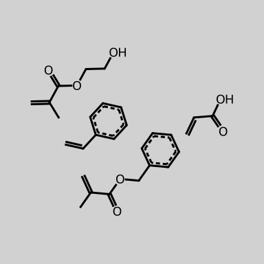 C=C(C)C(=O)OCCO.C=C(C)C(=O)OCc1ccccc1.C=CC(=O)O.C=Cc1ccccc1